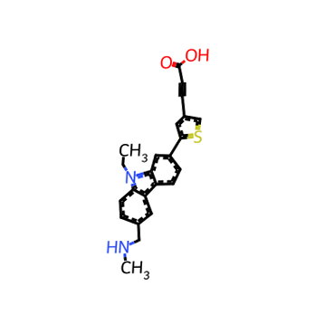 CCn1c2ccc(CNC)cc2c2ccc(-c3cc(C#CC(=O)O)cs3)cc21